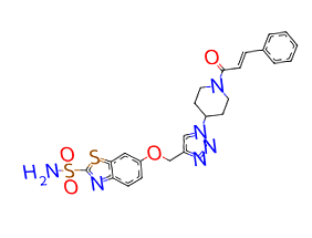 NS(=O)(=O)c1nc2ccc(OCc3cn(C4CCN(C(=O)C=Cc5ccccc5)CC4)nn3)cc2s1